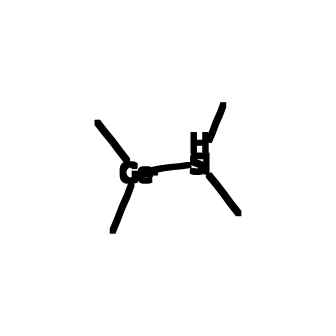 C[SiH](C)[Ge]([CH3])[CH3]